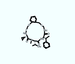 CC(O)[C@H]1C(=O)N[C@H](C(C)c2ccccc2)C(=O)NCCCc2ccccc2OCCN[C@@H](C2CC2)C(=O)N1C